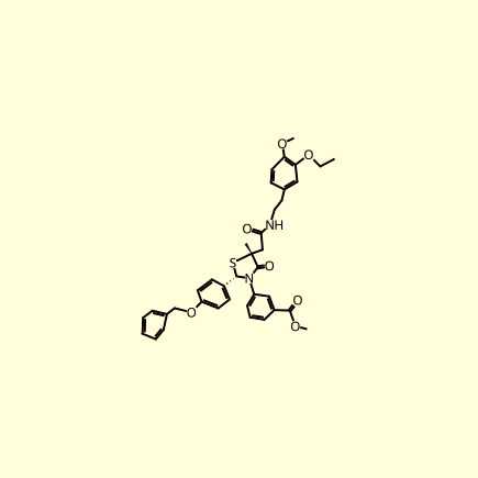 CCOc1cc(CCNC(=O)C[C@@]2(C)S[C@@H](c3ccc(OCc4ccccc4)cc3)N(c3cccc(C(=O)OC)c3)C2=O)ccc1OC